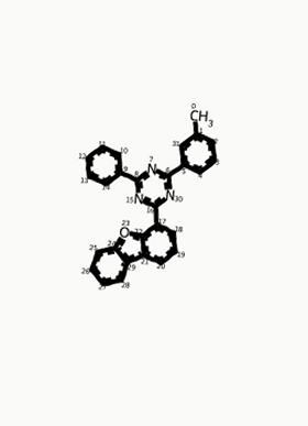 Cc1cccc(-c2nc(-c3ccccc3)nc(-c3cccc4c3oc3ccccc34)n2)c1